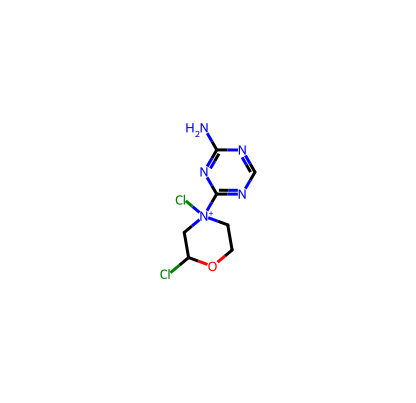 Nc1ncnc([N+]2(Cl)CCOC(Cl)C2)n1